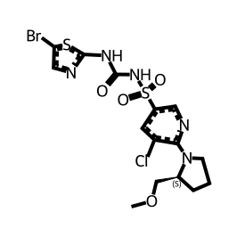 COC[C@@H]1CCCN1c1ncc(S(=O)(=O)NC(=O)Nc2ncc(Br)s2)cc1Cl